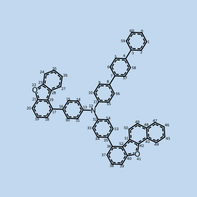 c1ccc(-c2ccc(-c3ccc(N(c4ccc(-c5cccc6oc7ccccc7c56)cc4)c4ccc(-c5cccc6oc7c8ccccc8ccc7c56)cc4)cc3)cc2)cc1